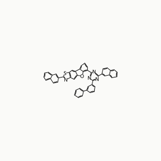 c1ccc(-c2cccc(-c3nc(-c4ccc5ccccc5c4)nc(-c4cccc5c4oc4cc6nc(-c7ccc8ccccc8c7)sc6cc45)n3)c2)cc1